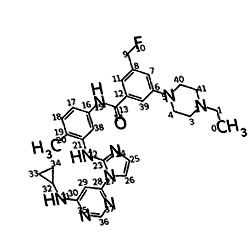 CCN1CCN(c2cc(CF)cc(C(=O)Nc3ccc(C)c(Nc4nccn4-c4cc(NC5CC5)ncn4)c3)c2)CC1